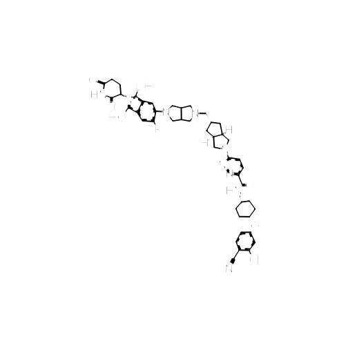 N#Cc1ccc(O[C@H]2CC[C@H](NC(=O)c3ccc(N4C[C@H]5C[C@@H](CN6CC7CN(c8cc9c(O)n(C%10CCC(=O)NC%10=O)c(O)c9cc8F)CC7C6)C[C@H]5C4)nn3)CC2)cc1Cl